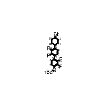 CCCCOc1ccc(-c2ccc(C3CCC(CC)CC3)c(F)c2F)c(F)c1F